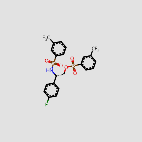 O=S(=O)(N[C@H](COS(=O)(=O)c1cccc(C(F)(F)F)c1)c1ccc(F)cc1)c1cccc(C(F)(F)F)c1